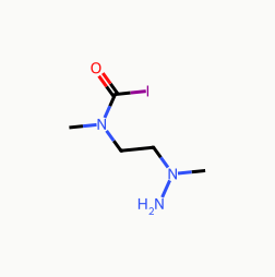 CN(N)CCN(C)C(=O)I